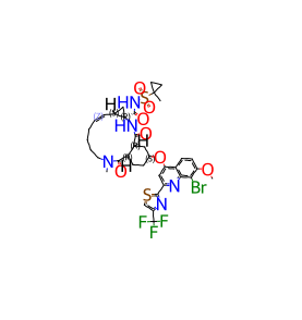 COc1ccc2c(O[C@H]3CC[C@H]4C(=O)N(C)CCCC/C=C\[C@@H]5C[C@@]5(C(=O)NS(=O)(=O)C5(C)CC5)NC(=O)[C@@H]4C3)cc(-c3nc(C(F)(F)F)cs3)nc2c1Br